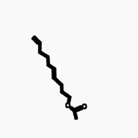 C=CCCCC=CCCCOC(C)=O